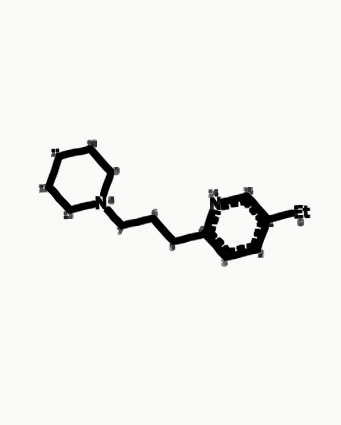 CCc1ccc(CCCN2CCCCC2)nc1